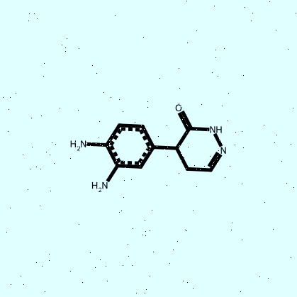 Nc1ccc(C2CC=NNC2=O)cc1N